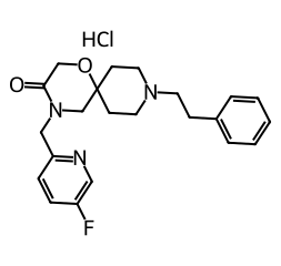 Cl.O=C1COC2(CCN(CCc3ccccc3)CC2)CN1Cc1ccc(F)cn1